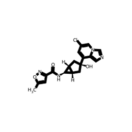 Cc1cc(C(=O)N[C@H]2[C@@H]3C[C@](O)(c4cc(Cl)cn5cncc45)C[C@@H]32)no1